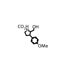 COc1ccc(C2CCN(C(=O)O)C2CO)cc1